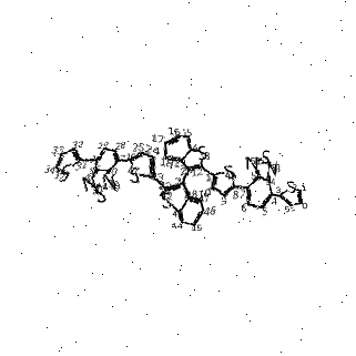 c1csc(-c2ccc(-c3ccc(-c4sc5ccccc5c4-c4c(-c5ccc(-c6ccc(-c7cccs7)c7nsnc67)s5)sc5ccccc45)s3)c3nsnc23)c1